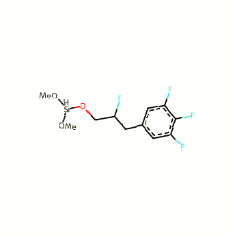 CO[SiH](OC)OCC(F)Cc1cc(F)c(F)c(F)c1